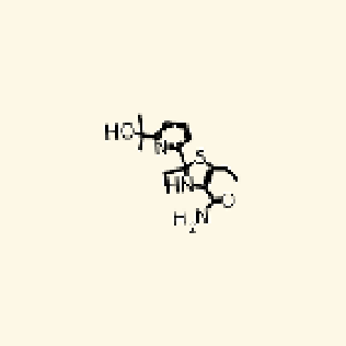 CCC1=C(C(N)=O)NC(CC)(c2cccc(C(C)(C)O)n2)S1